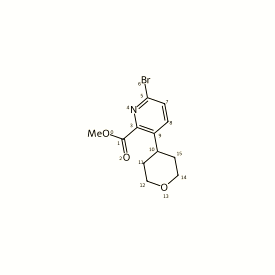 COC(=O)c1nc(Br)ccc1C1CCOCC1